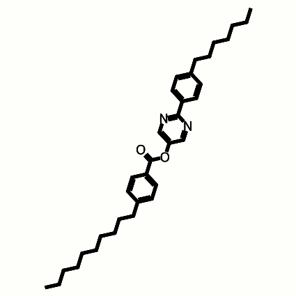 CCCCCCCCCCc1ccc(C(=O)Oc2cnc(-c3ccc(CCCCCCC)cc3)nc2)cc1